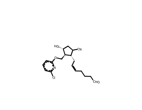 N#CC1C[C@@H](O)[C@H](COc2cccc(Cl)n2)[C@H]1C/C=C\CCCC=O